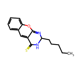 CCCCCC1N=C2Oc3ccccc3C=C2C(=S)N1